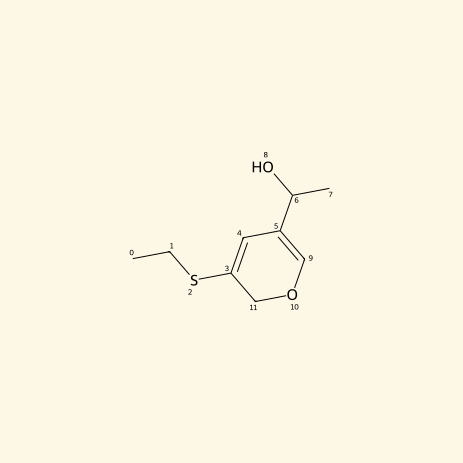 CCSC1=CC(C(C)O)=COC1